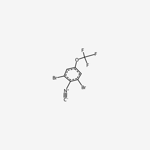 [C-]#[N+]c1c(Br)cc(OC(F)(F)F)cc1Br